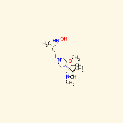 C=CN(C)C[C@@](C(=C)F)(C(C)OC)N1CCN(CCCC(C)CNO)CC1